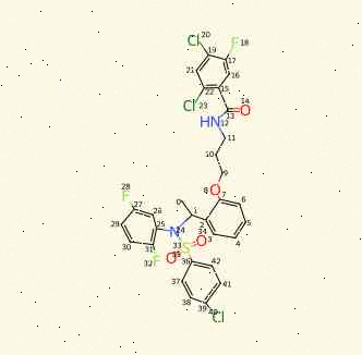 CC(c1ccccc1OCCCNC(=O)c1cc(F)c(Cl)cc1Cl)N(c1cc(F)ccc1F)S(=O)(=O)c1ccc(Cl)cc1